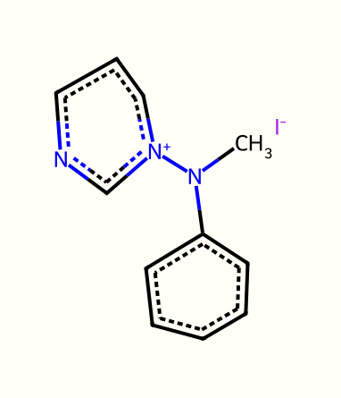 CN(c1ccccc1)[n+]1cccnc1.[I-]